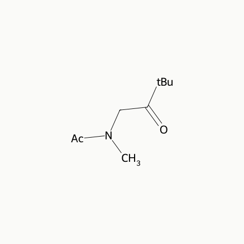 CC(=O)N(C)CC(=O)C(C)(C)C